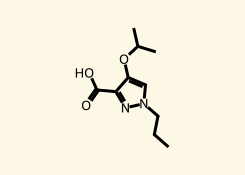 CCCn1cc(OC(C)C)c(C(=O)O)n1